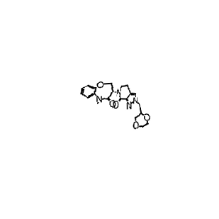 CN1C(=O)[C@@H](N2CCc3cn(CC4COCCO4)nc3C2=O)COc2ccccc21